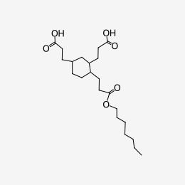 CCCCCCCOC(=O)CCC1CCC(CCC(=O)O)CC1CCC(=O)O